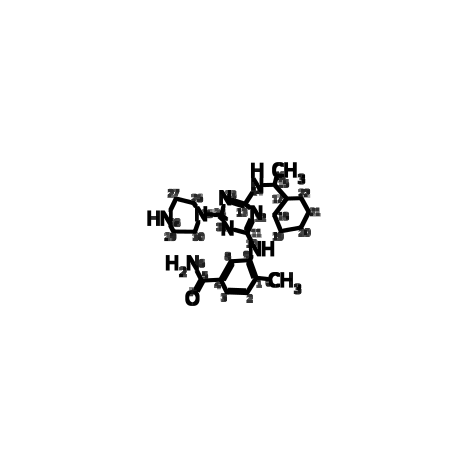 Cc1ccc(C(N)=O)cc1Nc1nc(NC(C)C2CCCCC2)nc(N2CCNCC2)n1